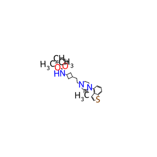 C[C@@H]1CN(CCC2CC(NC(=O)OC(C)(C)C)C2)CCN1c1cccc2sccc12